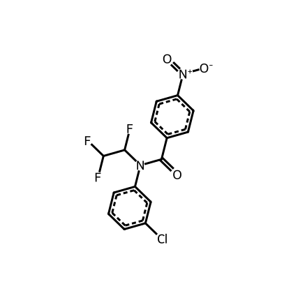 O=C(c1ccc([N+](=O)[O-])cc1)N(c1cccc(Cl)c1)C(F)C(F)F